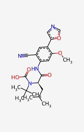 COc1cc(NC(=O)[C@@H](CC(C)C)N(C(=O)O)C(C)(C)C)c(C#N)cc1-c1cnco1